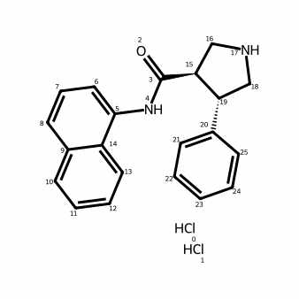 Cl.Cl.O=C(Nc1cccc2ccccc12)[C@H]1CNC[C@@H]1c1ccccc1